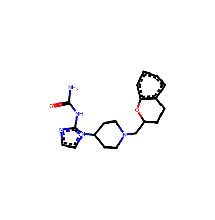 NC(=O)Nc1nccn1C1CCN(CC2CCc3ccccc3O2)CC1